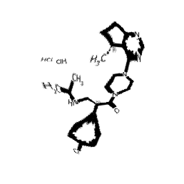 CC(C)NC[C@@H](C(=O)N1CCN(c2ncnc3c2[C@H](C)CC3)CC1)c1ccc(Cl)cc1.Cl.Cl